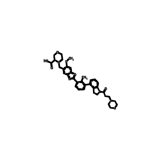 COc1cc2oc(-c3cccc(-c4cccc5c4CCN5C(=O)CCN4CCOCC4)c3C)nc2cc1CN1CCOCC1C(=O)O